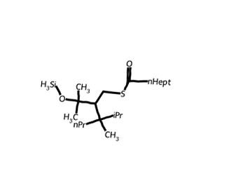 CCCCCCCC(=O)SCC(C(C)(C)O[SiH3])C(C)(CCC)C(C)C